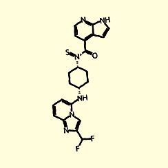 O=C(c1ccnc2[nH]ccc12)[N+](=S)[C@H]1CC[C@@H](Nc2cccc3nc(C(F)F)cn23)CC1